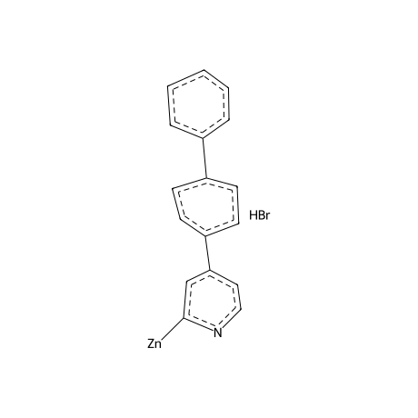 Br.[Zn][c]1cc(-c2ccc(-c3ccccc3)cc2)ccn1